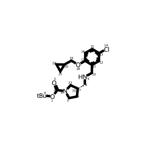 CC(C)(C)OC(=O)N1CC[C@@H](CNCc2cc(Cl)ccc2OCC2CC2)C1